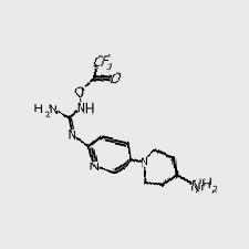 NC(=Nc1ccc(N2CCC(N)CC2)cn1)NOC(=O)C(F)(F)F